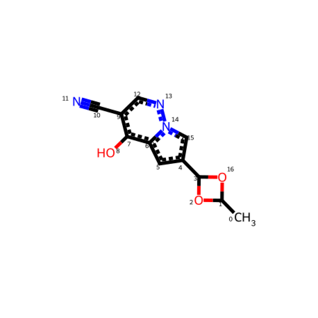 CC1OC(c2cc3c(O)c(C#N)cnn3c2)O1